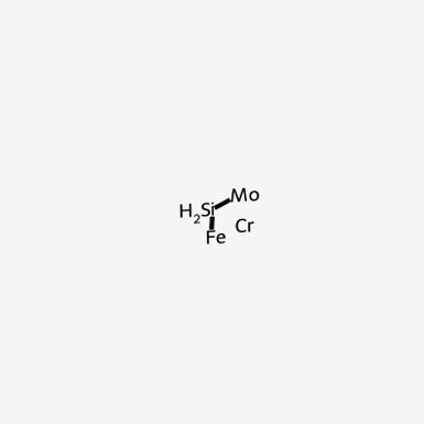 [Cr].[Fe][SiH2][Mo]